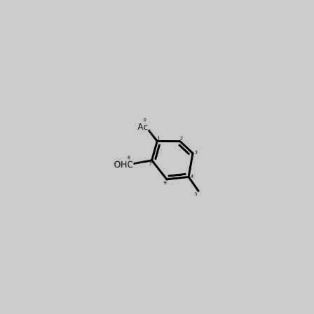 CC(=O)c1ccc(C)cc1C=O